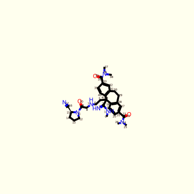 CNC(=N)C1(CCNCC(=O)N2CCC[C@H]2C#N)c2ccc(C(=O)N(C)C)cc2CCc2cc(C(=O)N(C)C)ccc21